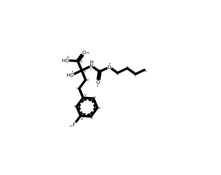 CCCCOC(=O)NC(O)(CCc1cccc(F)c1)C(=O)O